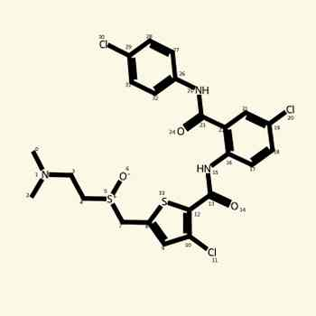 CN(C)CC[S+]([O-])Cc1cc(Cl)c(C(=O)Nc2ccc(Cl)cc2C(=O)Nc2ccc(Cl)cc2)s1